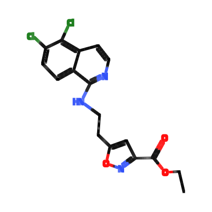 CCOC(=O)c1cc(CCNc2nccc3c(Cl)c(Cl)ccc23)on1